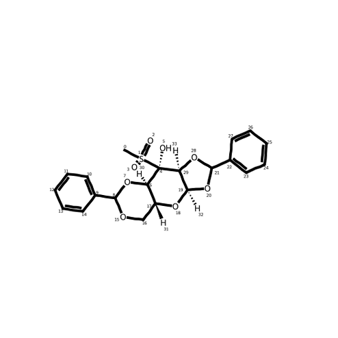 CS(=O)(=O)[C@]1(O)[C@@H]2OC(c3ccccc3)OC[C@H]2O[C@@H]2OC(c3ccccc3)O[C@@H]21